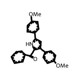 COc1ccc(-c2cc(-c3ccc(OC)cc3)c(C(=O)c3ccccc3)[nH]2)cc1